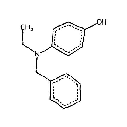 CCN(Cc1ccccc1)c1ccc(O)cc1